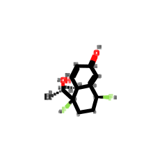 CC[C@H](O)[C@@]1(F)CC[C@H](F)C2=CC(=O)C=C[C@@]21C